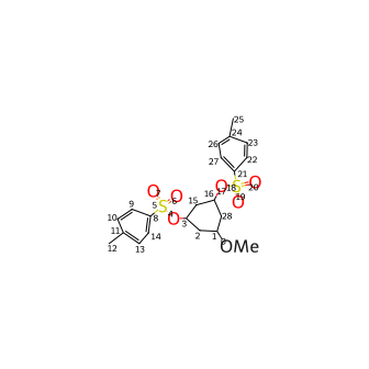 COC1CC(OS(=O)(=O)c2ccc(C)cc2)CC(OS(=O)(=O)c2ccc(C)cc2)C1